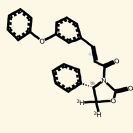 [2H]C1([2H])OC(=O)N(C(=O)/C=C/c2cccc(Oc3ccccc3)c2)[C@H]1c1ccccc1